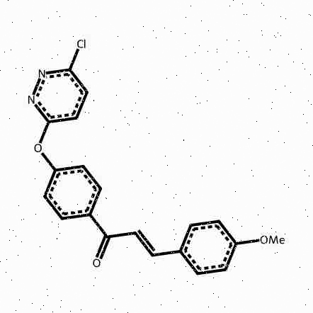 COc1ccc(C=CC(=O)c2ccc(Oc3ccc(Cl)nn3)cc2)cc1